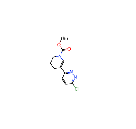 CC(C)(C)OC(=O)N1C=C(c2ccc(Cl)nn2)CCC1